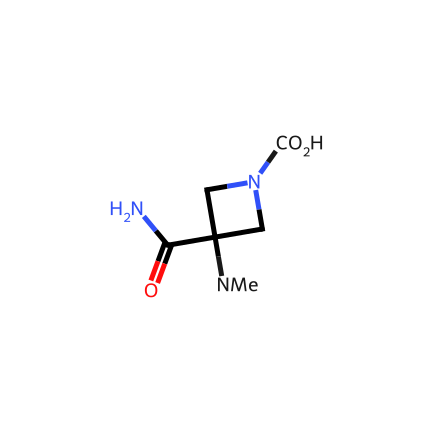 CNC1(C(N)=O)CN(C(=O)O)C1